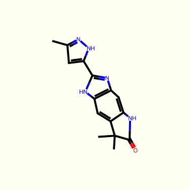 Cc1cc(-c2nc3cc4c(cc3[nH]2)C(C)(C)C(=O)N4)[nH]n1